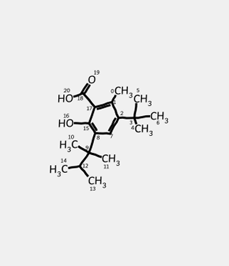 Cc1c(C(C)(C)C)cc(C(C)(C)C(C)C)c(O)c1C(=O)O